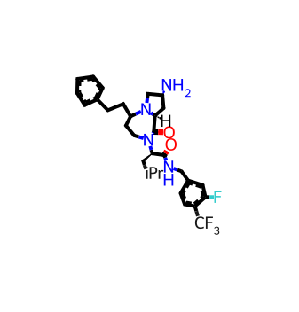 CC(C)C[C@H](C(=O)NCc1ccc(C(F)(F)F)c(F)c1)N1CCC(CCc2ccccc2)N2C[C@H](N)C[C@H]2C1=O